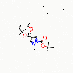 CCOB(OC(C)(C)CC)c1cnn(C(=O)OC(C)(C)C)c1